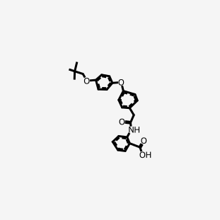 CC(C)(C)COc1ccc(Oc2ccc(CC(=O)Nc3ccccc3C(=O)O)cc2)cc1